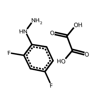 NNc1ccc(F)cc1F.O=C(O)C(=O)O